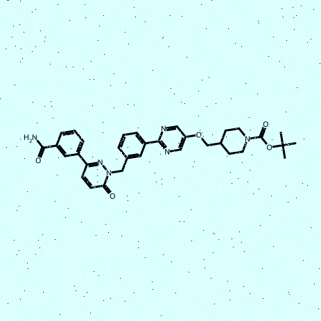 CC(C)(C)OC(=O)N1CCC(COc2cnc(-c3cccc(Cn4nc(-c5cccc(C(N)=O)c5)ccc4=O)c3)nc2)CC1